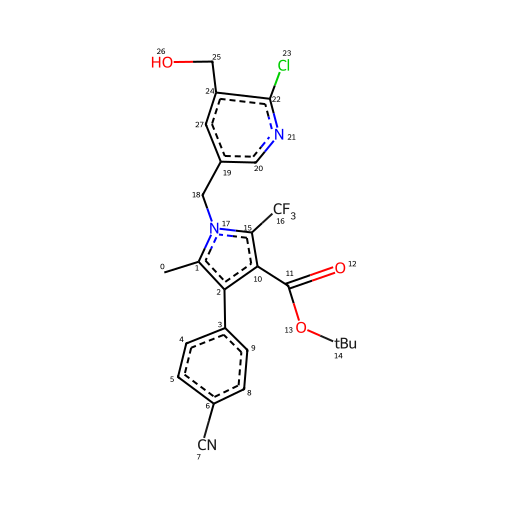 Cc1c(-c2ccc(C#N)cc2)c(C(=O)OC(C)(C)C)c(C(F)(F)F)n1Cc1cnc(Cl)c(CO)c1